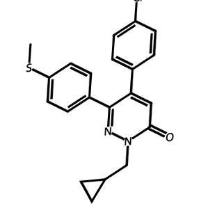 CSc1ccc(-c2nn(CC3CC3)c(=O)cc2-c2ccc(Cl)cc2)cc1